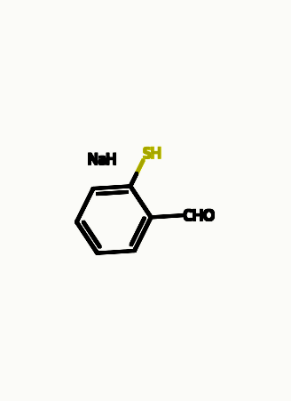 O=Cc1ccccc1S.[NaH]